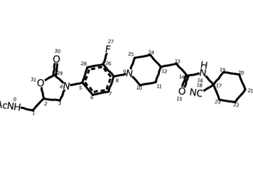 CC(=O)NCC1CN(c2ccc(N3CCC(CC(=O)NC4(C#N)CCCCC4)CC3)c(F)c2)C(=O)O1